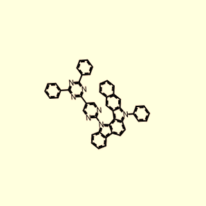 c1ccc(-c2nc(-c3ccccc3)nc(-c3cnc(-n4c5ccccc5c5ccc6c(c7cc8ccccc8cc7n6-c6ccccc6)c54)nc3)n2)cc1